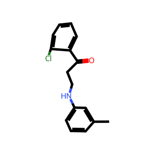 Cc1cccc(NCCC(=O)c2ccccc2Cl)c1